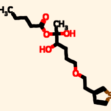 CCCCC(=O)OC(C)(O)C(O)CCCOCCc1ccsc1